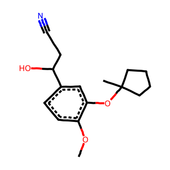 COc1ccc(C(O)CC#N)cc1OC1(C)CCCC1